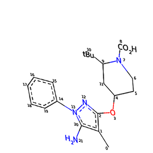 Cc1c(OC2CCN(C(=O)O)C(C(C)(C)C)C2)nn(-c2ccccc2)c1N